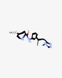 C[C@H](Cc1nncn1C)c1cccc(NC(=O)c2cc(C(=O)O)ccn2)c1